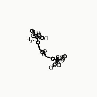 Cc1c(C(=O)NN2CCCCC2)nn(-c2ccc(Cl)cc2Cl)c1-c1ccc(C#CCCO[N+](=O)OCCC#Cc2ccc(-c3c(C)c(C(=O)NN4CCCCC4)nn3-c3ccc(Cl)cc3Cl)cc2)cc1